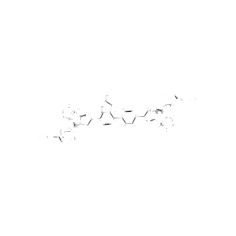 COC(=O)N[C@H](C(=O)N1CCC[C@@]1(C)c1nc(-c2ccc(-c3ccc(-c4c[nH]c([C@]5(C)CCCN5C(=O)[C@@H](NC(=O)OC)C(C)C)n4)c4oc(C)cc34)cc2)c[nH]1)C(C)C